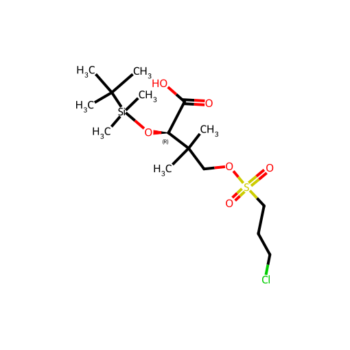 CC(C)(COS(=O)(=O)CCCCl)[C@@H](O[Si](C)(C)C(C)(C)C)C(=O)O